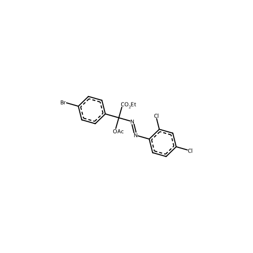 CCOC(=O)C(/N=N/c1ccc(Cl)cc1Cl)(OC(C)=O)c1ccc(Br)cc1